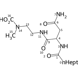 CCCCCCCC(=O)NC(CC(N)=O)C(=O)NCCN(C)C(=O)O